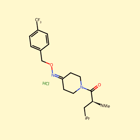 CN[C@@H](CC(C)C)C(=O)N1CCC(=NOCc2ccc(C(F)(F)F)cc2)CC1.Cl